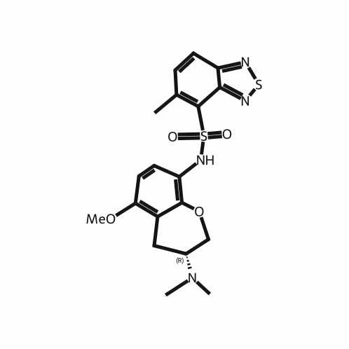 COc1ccc(NS(=O)(=O)c2c(C)ccc3nsnc23)c2c1C[C@@H](N(C)C)CO2